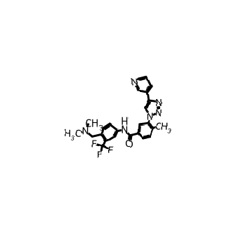 Cc1ccc(C(=O)Nc2ccc(CN(C)C)c(C(F)(F)F)c2)cc1-n1cc(-c2cccnc2)nn1